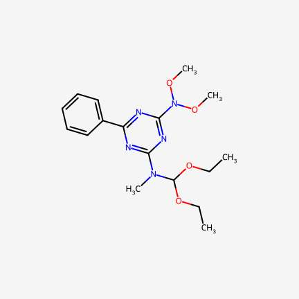 CCOC(OCC)N(C)c1nc(-c2ccccc2)nc(N(OC)OC)n1